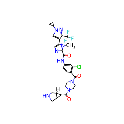 Cn1c(-c2cn(C3CC3)nc2C(F)(F)F)cnc1C(=O)Nc1ccc(C(=O)N2CCN(C(=O)[C@H]3C4CNC[C@@H]43)CC2)c(Cl)c1